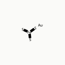 [Au].[S]=[Fe](=[S])=[S]